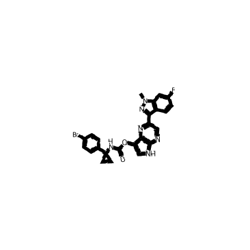 Cn1nc(-c2cnc3[nH]cc(OC(=O)NC4(c5ccc(Br)cc5)CC4)c3n2)c2ccc(F)cc21